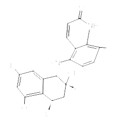 CC[C@@H]1C[C@](O)(C(F)(F)F)[C@@H](Nc2ccc(F)c3[nH]c(=O)ccc23)c2cc(F)cc(O)c21